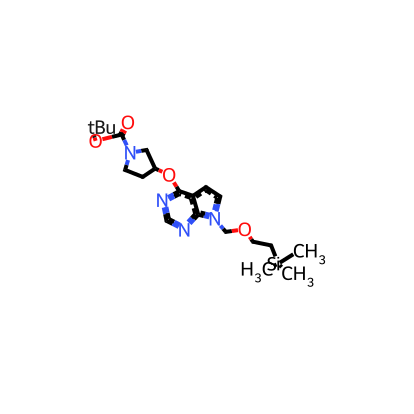 CC(C)(C)OC(=O)N1CCC(Oc2ncnc3c2ccn3COCC[Si](C)(C)C)C1